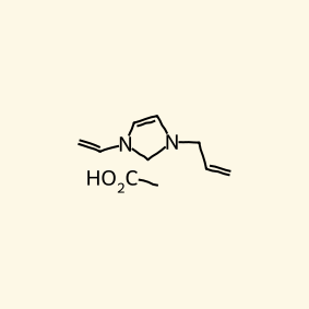 C=CCN1C=CN(C=C)C1.CC(=O)O